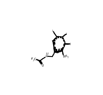 Nc1c(CNC(=O)C(F)(F)F)cc(I)c(I)c1I